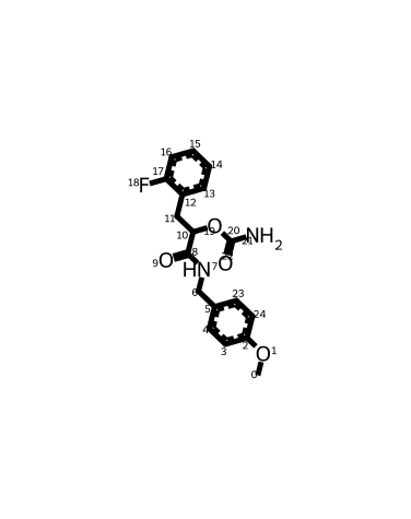 COc1ccc(CNC(=O)C(Cc2ccccc2F)OC(N)=O)cc1